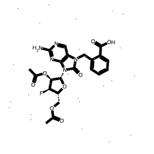 CC(=O)OC[C@H]1O[C@@H](n2c(=O)n(Cc3ccccc3C(=O)O)c3cnc(N)nc32)[C@H](OC(C)=O)[C@@H]1F